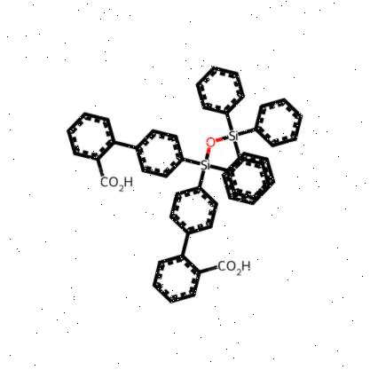 O=C(O)c1ccccc1-c1ccc([Si](O[Si](c2ccccc2)(c2ccccc2)c2ccccc2)(c2ccccc2)c2ccc(-c3ccccc3C(=O)O)cc2)cc1